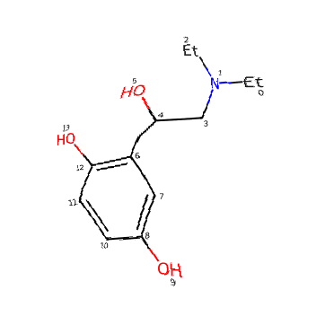 CCN(CC)CC(O)c1cc(O)ccc1O